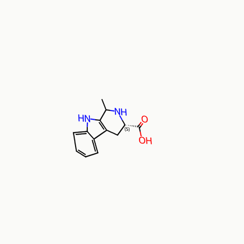 CC1N[C@H](C(=O)O)Cc2c1[nH]c1ccccc21